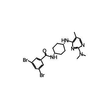 Cc1cnc(N(C)C)nc1N[C@H]1CC[C@@H](NC(=O)c2cc(Br)cc(Br)c2)CC1